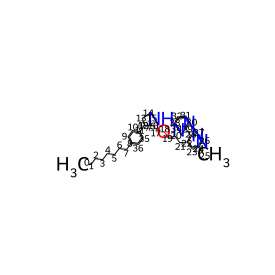 CCCCCCCCc1ccc([C@H]2CCN[C@@H]2COCCCc2cc(C)nnc2-c2ncccn2)cc1